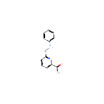 COC(=O)c1cccc(CNc2ccccc2)n1